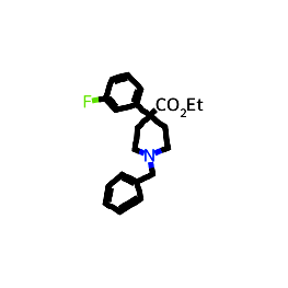 CCOC(=O)C1(c2cccc(F)c2)CCN(Cc2ccccc2)CC1